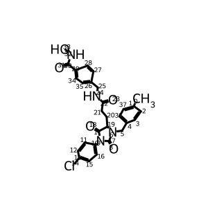 Cc1ccc(CN2C(=O)N(c3ccc(Cl)cc3)C(=O)C2CCC(=O)NCc2ccc(C(=O)NO)cc2)cc1